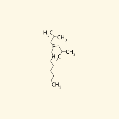 CCCCCCCCP(CC(C)C)CC(C)C